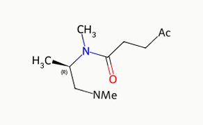 CNC[C@@H](C)N(C)C(=O)CCC(C)=O